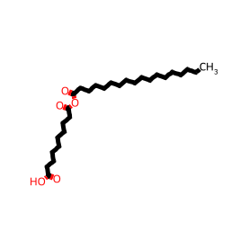 CCCCCCCCCCCCCCCCCC(=O)OC(=O)CCCCCCCCC(=O)O